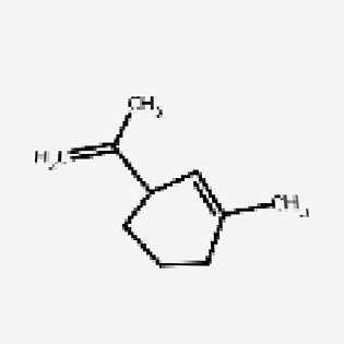 C=C(C)C1C=C(C)CCC1